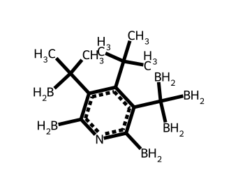 Bc1nc(B)c(C(B)(C)C)c(C(C)(C)C)c1C(B)(B)B